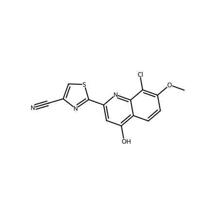 COc1ccc2c(O)cc(-c3nc(C#N)cs3)nc2c1Cl